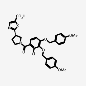 COc1ccc(COc2ccc(C(=O)N3CC[C@@H](c4ncc(C(=O)O)s4)C3)c(Cl)c2OCc2ccc(OC)cc2)cc1